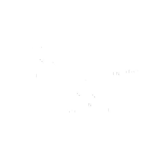 CCCCCNc1ccc(Cl)c(-n2nc(CCCC)n(Cc3ccc(-c4ccccc4S(=O)(=O)NC(=O)c4ccccc4Cl)cc3)c2=O)c1